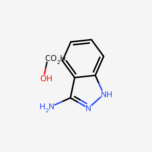 Nc1n[nH]c2ccccc12.O=C(O)O